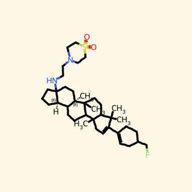 CC1(C)C(C2=CCC(CF)CC2)=CCC2(C)C1CCC1(C)C2CCC2[C@H]3CCCC3(NCCN3CCS(=O)(=O)CC3)CC[C@]21C